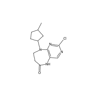 CC1CCC(N2CCC(=O)Nc3cnc(Cl)nc32)C1